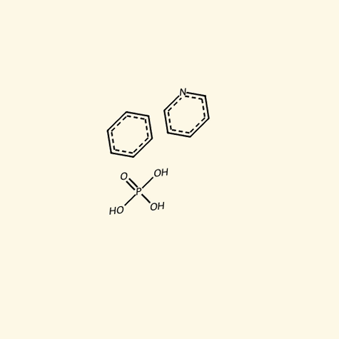 O=P(O)(O)O.c1ccccc1.c1ccncc1